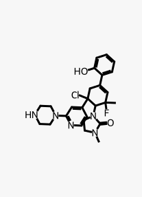 CN1CCN(C2C(C)(F)C=C(c3ccccc3O)CC2(Cl)c2ccnc(N3CCNCC3)c2)C1=O